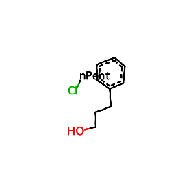 CCCCCCl.OCCCc1ccccc1